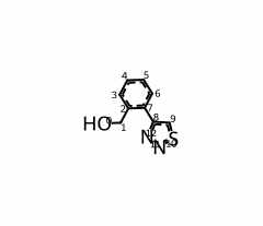 OCc1ccccc1-c1csnn1